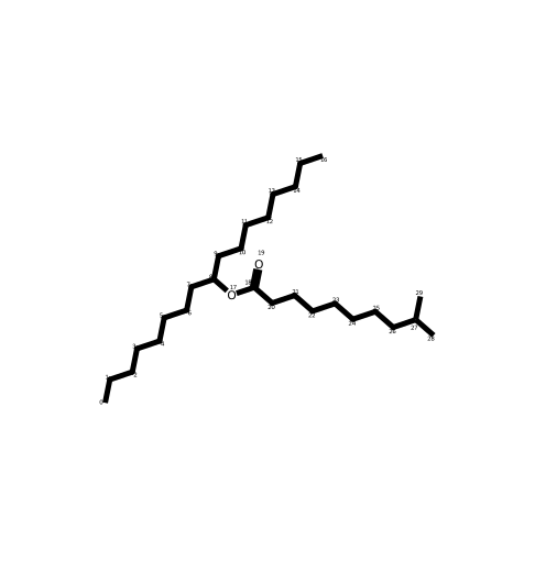 CCCCCCCCC(CCCCCCCC)OC(=O)CCCCCCCC(C)C